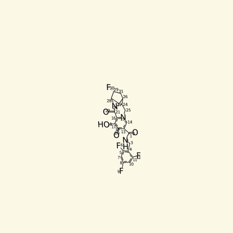 O=C(NCc1c(F)cc(F)cc1F)c1cn2c(c(O)c1=O)C(=O)N1C(C2)C2CC1[C@H](F)C2